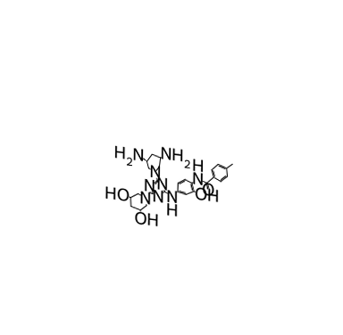 Cc1ccc(C(=O)Nc2ccc(Nc3nc(N4C[C@H](N)C[C@H](N)C4)nc(N4C[C@H](O)C[C@@H](O)C4)n3)cc2O)cc1